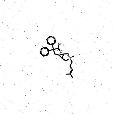 CC(C)=CCC[N+]1(C)CC2C(CC(C(N)=O)(c3ccccc3)c3ccccc3)C2C1